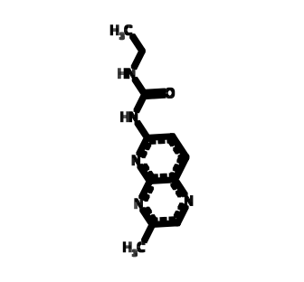 CCNC(=O)Nc1ccc2ncc(C)nc2n1